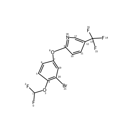 FC(F)Oc1ccc(Oc2ccc(C(F)(F)F)cn2)cc1Br